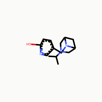 CC(C)N1CC2CC(C1)N2Cc1ccc(O)nc1